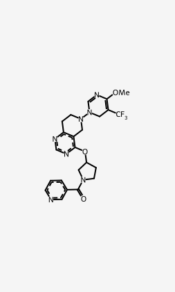 COC1=C(C(F)(F)F)CN(N2CCc3ncnc(OC4CCN(C(=O)c5cccnc5)C4)c3C2)C=N1